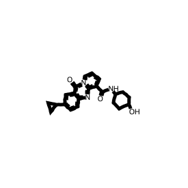 O=C(NC1CCC(O)CC1)c1cccn2c(=O)c3cc(C4CC4)ccc3nc12